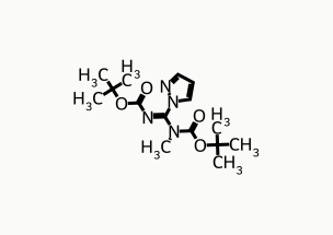 CN(C(=O)OC(C)(C)C)/C(=N/C(=O)OC(C)(C)C)n1cccn1